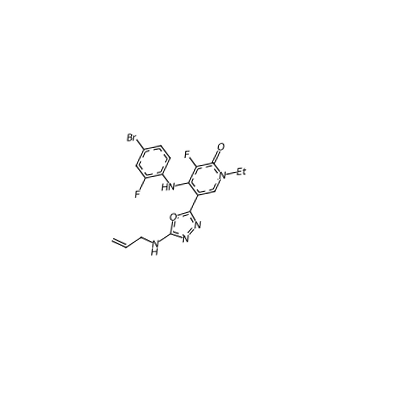 C=CCNc1nnc(-c2cn(CC)c(=O)c(F)c2Nc2ccc(Br)cc2F)o1